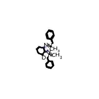 CN(Cc1ccccc1)/N=C1/CCCC(=O)/C1=N\N(C)Cc1ccccc1